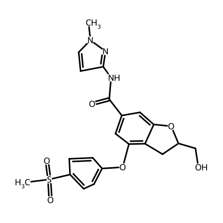 Cn1ccc(NC(=O)c2cc(Oc3ccc(S(C)(=O)=O)cc3)c3c(c2)OC(CO)C3)n1